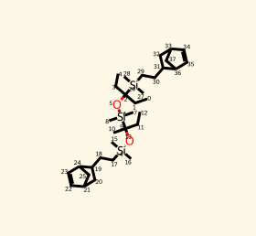 CCC(CC)(O[Si](C)(C)C(C)(CC)O[Si](C)(C)CCC1CC2C=CC1C2)[Si](C)(C)CCC1CC2C=CC1C2